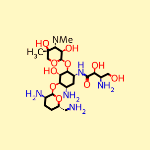 CN[C@@H]1[C@@H](O)[C@@H](O[C@@H]2[C@@H](O)[C@H](O[C@H]3O[C@H](CN)CC[C@H]3N)[C@@H](N)C[C@H]2NC(=O)[C@@H](O)[C@H](N)CO)OC[C@]1(C)O